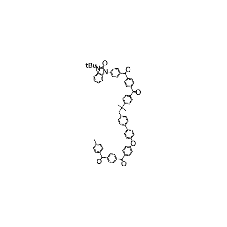 Cc1ccc(C(=O)c2ccc(C(=O)c3ccc(Oc4ccc(-c5ccc(CC(C)(C)c6ccc(C(=O)c7ccc(C(=O)c8ccc(-n9c(=O)n(C(C)(C)C)c%10ccccc%109)cc8)cc7)cc6)cc5)cc4)cc3)cc2)cc1